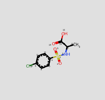 CC(NS(=O)(=O)c1ccc(Cl)cc1)C(=O)O